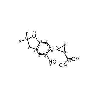 CC1(C)Cc2cc(N=O)c([C@@H]3C[C@H]3C(=O)Cl)cc2O1